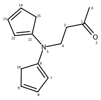 CC(=O)CCN(C1=CC=CC1)C1=CC=CC1